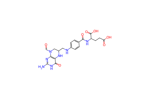 Nc1nc2c(c(=O)[nH]1)NC(CNc1ccc(C(=O)NC(CCC(=O)O)C(=O)O)cc1)CN2C=O